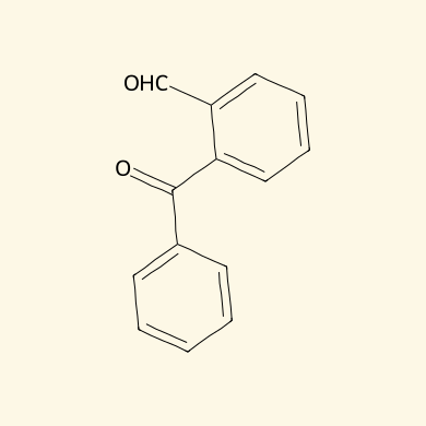 O=Cc1ccccc1C(=O)c1ccccc1